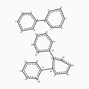 c1ccc(-c2ccccc2)cc1.c1ccc(-c2cccnc2-c2ccccn2)nc1